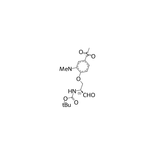 CNc1cc(S(C)(=O)=O)ccc1OC[C@@H](C=O)NC(=O)OC(C)(C)C